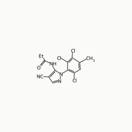 CCC(=O)Nc1c(C#N)cnn1-c1c(Cl)cc(C)c(Cl)c1Cl